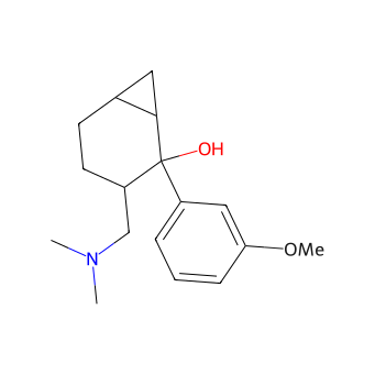 COc1cccc(C2(O)C(CN(C)C)CCC3CC32)c1